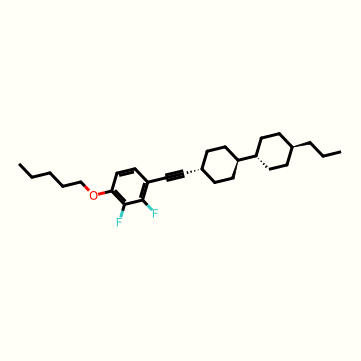 CCCCCOc1ccc(C#C[C@H]2CC[C@H]([C@H]3CC[C@H](CCC)CC3)CC2)c(F)c1F